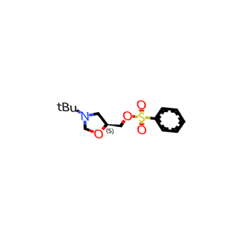 CC(C)(C)N1CO[C@H](COS(=O)(=O)c2ccccc2)C1